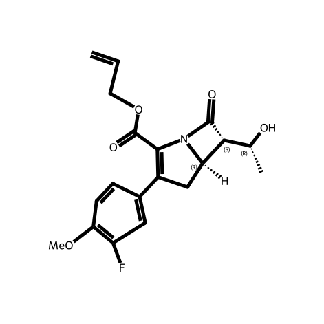 C=CCOC(=O)C1=C(c2ccc(OC)c(F)c2)C[C@@H]2[C@@H]([C@@H](C)O)C(=O)N12